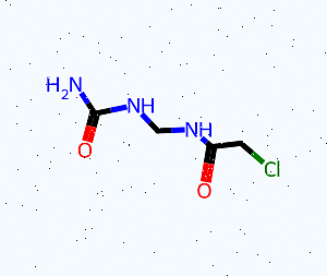 NC(=O)NCNC(=O)CCl